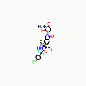 BN1C(=O)CCC(N2Cc3cc(C(B)(B)NC(=O)C(F)(F)c4ccc(Cl)cc4)ccc3C2=O)C1=O